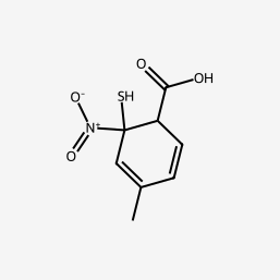 CC1=CC(S)([N+](=O)[O-])C(C(=O)O)C=C1